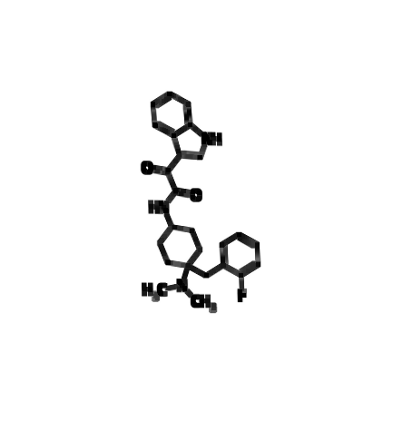 CN(C)C1(Cc2ccccc2F)CCC(NC(=O)C(=O)c2c[nH]c3ccccc23)CC1